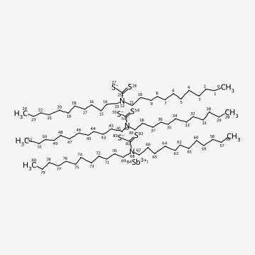 CCCCCCCCCCCCN(CCCCCCCCCCCC)C(=S)[S-].CCCCCCCCCCCCN(CCCCCCCCCCCC)C(=S)[S-].CCCCCCCCCCCCN(CCCCCCCCCCCC)C(=S)[S-].[Sb+3]